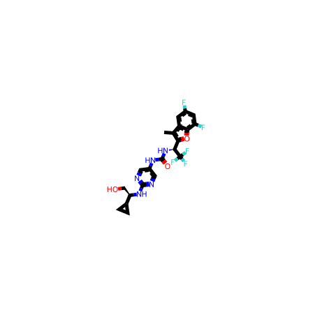 Cc1c([C@@H](NC(=O)Nc2cnc(N[C@H](CO)C3CC3)nc2)C(F)(F)F)oc2c(F)cc(F)cc12